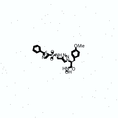 COc1ccc(C[C@@H](C(=O)NO)n2cc(CNS(=O)(=O)c3cnc(-c4ccccc4)s3)nn2)cc1